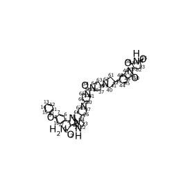 NC(=O)c1c(-c2ccc(Oc3ccccc3)cc2)nn2c1NCCC2C1CCN(C2CCN(C(=O)N3CCC(N4CCC(c5ccc6c(c5)CN(C5CCC(=O)NC5=O)C6=O)CC4)CC3)CC2)CC1